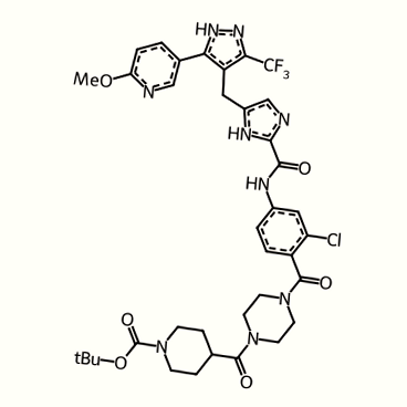 COc1ccc(-c2[nH]nc(C(F)(F)F)c2Cc2cnc(C(=O)Nc3ccc(C(=O)N4CCN(C(=O)C5CCN(C(=O)OC(C)(C)C)CC5)CC4)c(Cl)c3)[nH]2)cn1